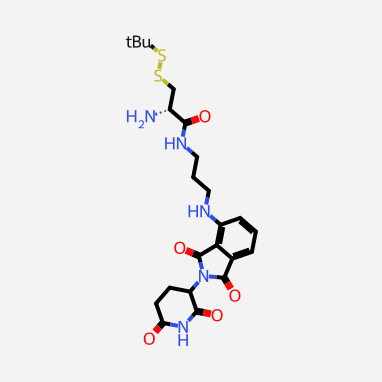 CC(C)(C)SSC[C@@H](N)C(=O)NCCCNc1cccc2c1C(=O)N(C1CCC(=O)NC1=O)C2=O